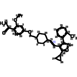 CC(C)Oc1cc(OCC2CCC(/C=C/c3c(-c4ccccc4C(F)(F)F)noc3C3CC3)CC2)cnc1C(N)=O